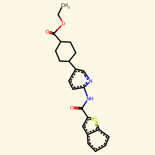 CCOC(=O)C1CCC(c2ccc(NC(=O)c3cc4ccccc4s3)nc2)CC1